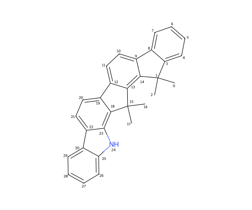 CC1(C)c2ccccc2-c2ccc3c(c21)C(C)(C)c1c-3ccc2c1[nH]c1ccccc12